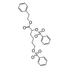 O=C(OCCc1ccccc1)C(CCCCOS(=O)(=O)c1ccccc1)OS(=O)(=O)c1ccccc1